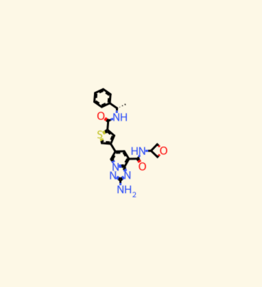 C[C@H](NC(=O)c1cc(-c2cc(C(=O)NC3COC3)c3nc(N)nn3c2)cs1)c1ccccc1